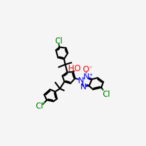 CC(C)(c1ccc(Cl)cc1)c1cc(-n2nc3cc(Cl)ccc3[n+]2[O-])c(O)c(C(C)(C)c2ccc(Cl)cc2)c1